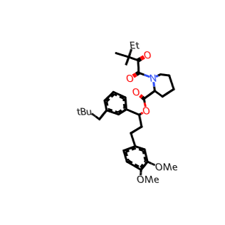 CCC(C)(C)C(=O)C(=O)N1CCCCC1C(=O)OC(CCc1ccc(OC)c(OC)c1)c1cccc(CC(C)(C)C)c1